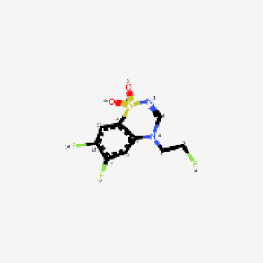 O=S1(=O)N=CN(CCF)c2cc(F)c(F)cc21